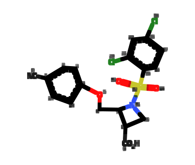 N#Cc1ccc(OCC2C(C(=O)O)CN2S(=O)(=O)c2ccc(Cl)cc2Cl)cc1